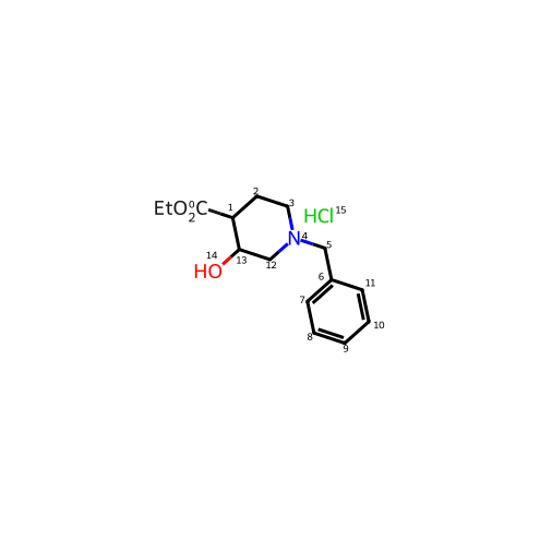 CCOC(=O)C1CCN(Cc2ccccc2)CC1O.Cl